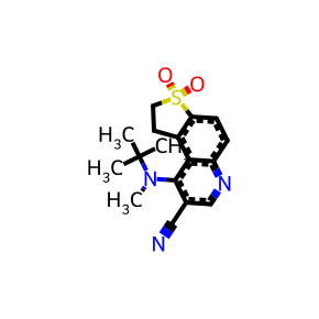 CN(c1c(C#N)cnc2ccc3c(c12)CCS3(=O)=O)C(C)(C)C